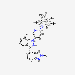 Cc1cccc2c(-c3cccc4nn(C)cc34)nn(-c3ccc(N4C[C@H]5CC[C@@H]4C[C@H]5C(=O)O)nc3)c12